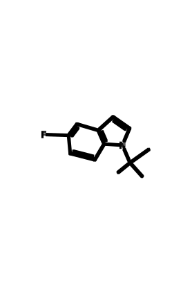 CC(C)(C)n1ccc2cc(F)ccc21